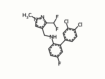 Cn1cc(CNc2ccc(F)cc2-c2ccc(Cl)c(Cl)c2)c(C(F)F)n1